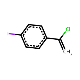 C=C(Cl)c1ccc(I)cc1